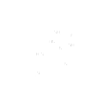 CCNN(NN)c1nccc(N)c1N